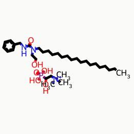 CCCCCCCCCCCCCCCCCCN(CCO)C(=O)NCc1ccccc1.C[N+](C)(C)CC(O)P(=O)(O)O